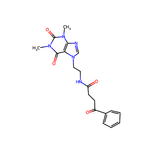 Cn1c(=O)c2c(ncn2CCNC(=O)CCC(=O)c2ccccc2)n(C)c1=O